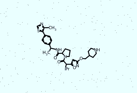 Cc1ncsc1-c1ccc(C(C)NC(=O)C2CCCN2C(=O)C(c2cc(OCC3CCNCC3)no2)C(C)C)cc1